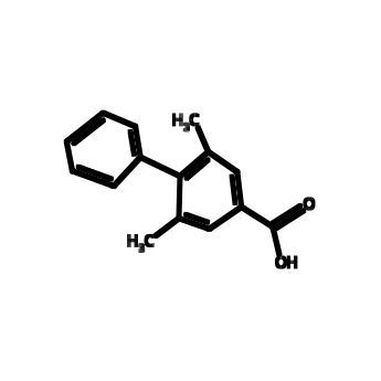 Cc1cc(C(=O)O)cc(C)c1-c1ccccc1